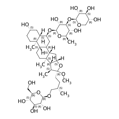 CO[C@]1(CC[C@H](C)CO[C@@H]2O[C@H](CO)[C@@H](O)[C@H](O)[C@H]2O)O[C@H]2C[C@H]3[C@@H]4C[C@H](O[C@@H]5O[C@H](C)[C@@H](O)[C@H](O[C@@H]6OC[C@@H](O)[C@H](O)[C@H]6O)[C@H]5O)[C@H]5C[C@@H](O)CC[C@]5(C)[C@H]4CC[C@]3(C)[C@H]2[C@@H]1C